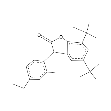 CCc1ccc(C2C(=O)Oc3c2cc(C(C)(C)C)cc3C(C)(C)C)c(C)c1